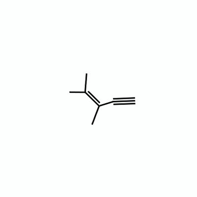 C#CC(C)=C(C)C